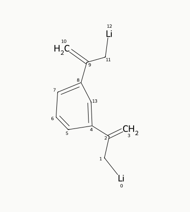 [Li][CH2]C(=C)c1cccc(C(=C)[CH2][Li])c1